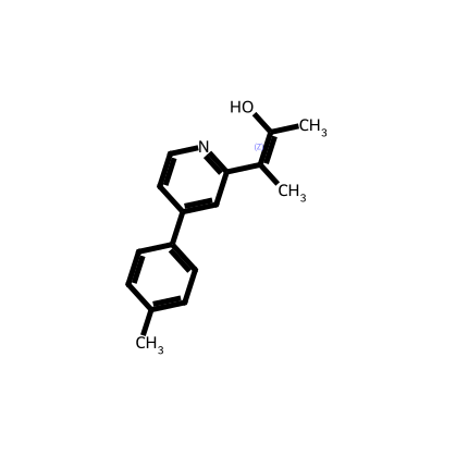 C/C(O)=C(\C)c1cc(-c2ccc(C)cc2)ccn1